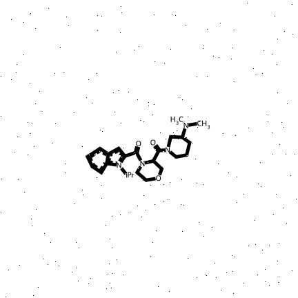 CC(C)n1c(C(=O)N2CCOCC2C(=O)N2CCCC(N(C)C)C2)cc2ccccc21